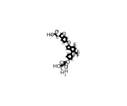 CC(C)(O)[C@@H](O)COc1ccc(-c2c(C(F)(F)F)cc(F)c3c2CC[C@H]3Oc2ccc3c(c2)OC[C@H]3CC(=O)O)cc1